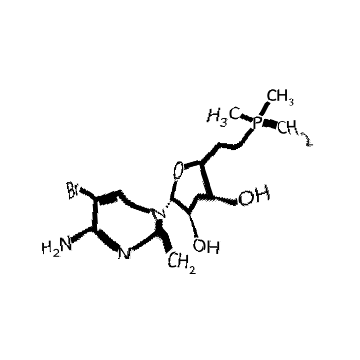 C=C1N=C(N)C(Br)=CN1[C@@H]1OC(CCP(=C)(C)C)[C@@H](O)[C@H]1O